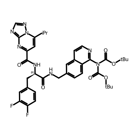 CC(C)c1cc(C(=O)N[C@H](Cc2ccc(F)c(F)c2)C(=O)NCc2ccc3c(N(C(=O)OC(C)(C)C)C(=O)OC(C)(C)C)nccc3c2)nc2ncnn12